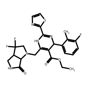 CCOC(=O)C1=C(CN2CC(F)(F)C3CNC(=O)C32)NC(c2nccs2)=NC1c1cccc(F)c1C